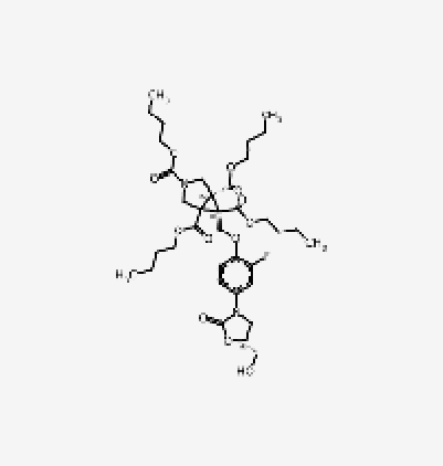 CCCCOC(=O)N1CC2(C(=O)OCCCC)[C@@](C(=O)OCCCC)(C1)[C@]2(COc1ccc(N2C[C@H](CO)OC2=O)cc1F)C(=O)OCCCC